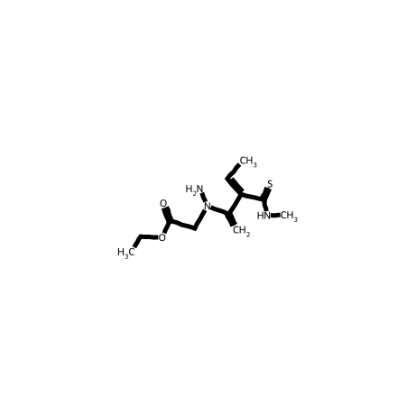 C=C(/C(=C/C)C(=S)NC)N(N)CC(=O)OCC